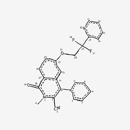 Cn1c(C#N)c(-c2ccccc2)c2cc(OCC(F)(F)c3ccccn3)ccc2c1=O